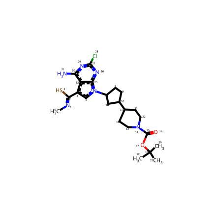 C/N=C(\S)c1cn(C2CCC(C3CCN(C(=O)OC(C)(C)C)CC3)C2)c2nc(Cl)nc(N)c12